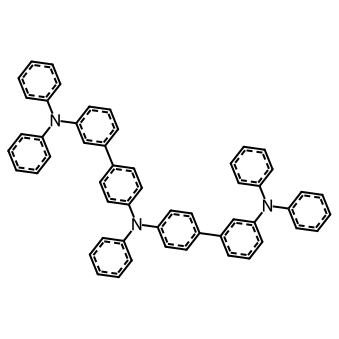 c1ccc(N(c2ccc(-c3cccc(N(c4ccccc4)c4ccccc4)c3)cc2)c2ccc(-c3cccc(N(c4ccccc4)c4ccccc4)c3)cc2)cc1